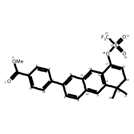 COC(=O)c1ccc(-c2ccc3cc4c(cc3c2)C(OS(=O)(=O)C(F)(F)F)=CCC4(C)C)cc1